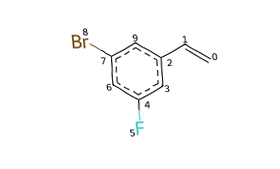 C=Cc1cc(F)cc(Br)c1